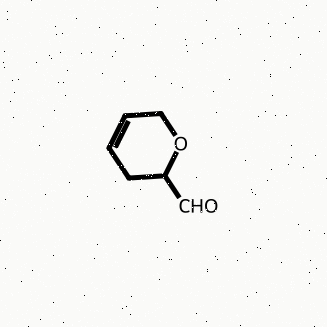 O=CC1CC=CCO1